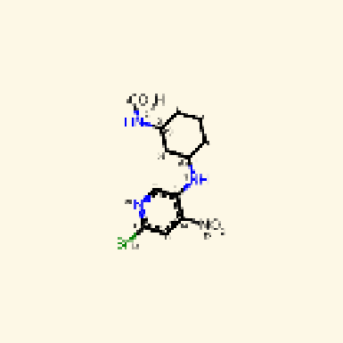 O=C(O)N[C@H]1CCC[C@@H](Nc2cnc(Br)cc2[N+](=O)[O-])C1